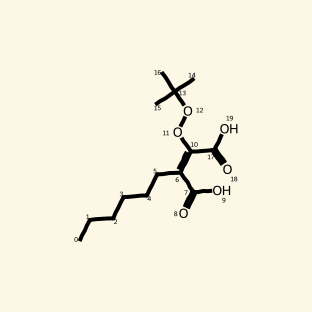 CCCCCCC(C(=O)O)=C(OOC(C)(C)C)C(=O)O